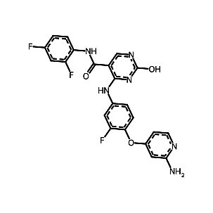 Nc1cc(Oc2ccc(Nc3nc(O)ncc3C(=O)Nc3ccc(F)cc3F)cc2F)ccn1